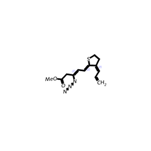 C=C/C=C1/CCS/C1=C\C=C(\CC(=O)OC)N=[N+]=[N-]